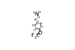 CN(C)CCc1ccc(OC(F)(F)F)cc1